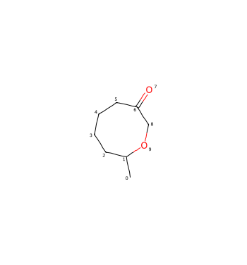 CC1CCCCC(=O)CO1